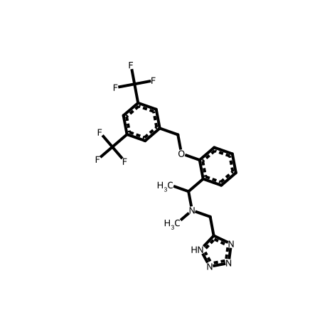 CC(c1ccccc1OCc1cc(C(F)(F)F)cc(C(F)(F)F)c1)N(C)Cc1nnn[nH]1